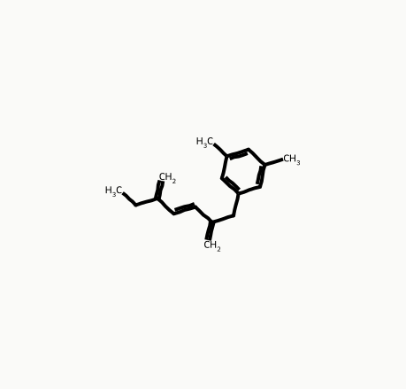 C=C(/C=C/C(=C)Cc1cc(C)cc(C)c1)CC